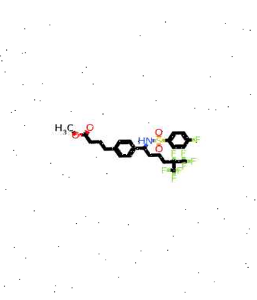 COC(=O)CCCc1ccc(C(CCCC(F)(C(F)(F)F)C(F)(F)F)NS(=O)(=O)c2ccc(F)cc2)cc1